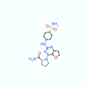 NC(=O)[C@@H]1CCCN1c1nc(Nc2ccc(S(N)(=O)=O)cc2)nc2ccoc12